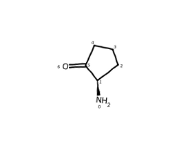 N[C@@H]1CCCC1=O